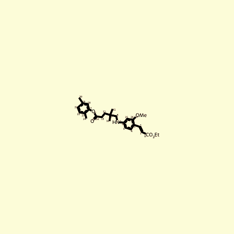 CCOC(=O)C=Cc1ccc(NCC(C)(C)CCC(=O)Oc2cc(C)ccc2C)cc1OC